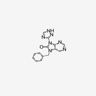 O=c1n(Cc2ccccc2)c2cncnc2n1-c1nc[nH]n1